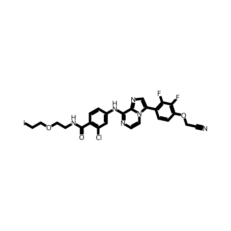 N#CCOc1ccc(-c2cnc3c(Nc4ccc(C(=O)NCCOCCI)c(Cl)c4)nccn23)c(F)c1F